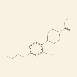 COc1nc(NCCC#N)ccc1C1CCN(C(=O)OC(C)(C)C)CC1